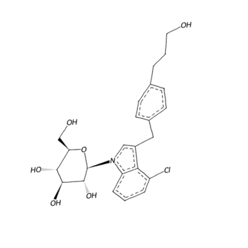 OCCCc1ccc(Cc2cn([C@@H]3O[C@H](CO)[C@@H](O)[C@H](O)[C@H]3O)c3cccc(Cl)c23)cc1